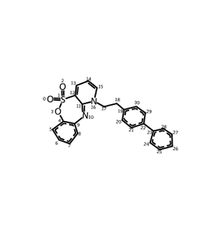 O=S1(=O)Oc2ccccc2N=C2C1=CC=CN2CCc1ccc(-c2ccccc2)cc1